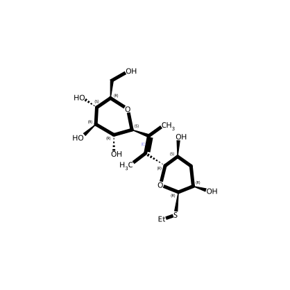 CCS[C@H]1O[C@H](/C(C)=C(\C)[C@@H]2O[C@H](CO)[C@@H](O)[C@H](O)[C@H]2O)[C@@H](O)C[C@H]1O